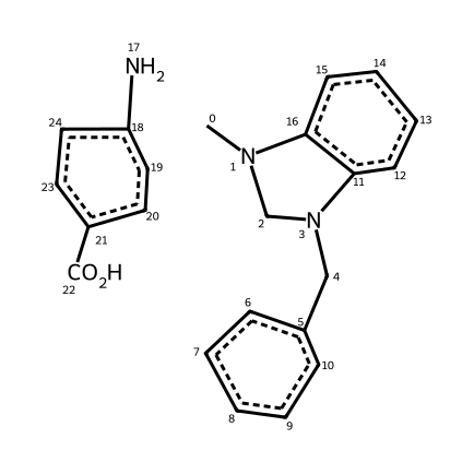 CN1CN(Cc2ccccc2)c2ccccc21.Nc1ccc(C(=O)O)cc1